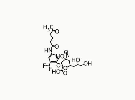 CC(=O)CCCC(=O)Nc1ccc(O[C@]2(C(=O)O)C[C@@](O)(N=O)CC(C[C@H](O)CO)O2)c(C(F)F)c1